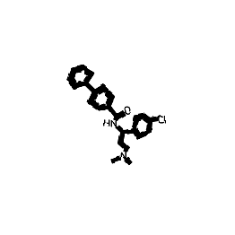 CN(C)CCC(NC(=O)c1ccc(-c2ccccc2)cc1)c1ccc(Cl)cc1